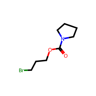 O=C(OCCCBr)N1CCCC1